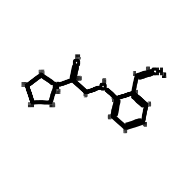 C=Cc1ccccc1OCC(=O)N1CCCC1